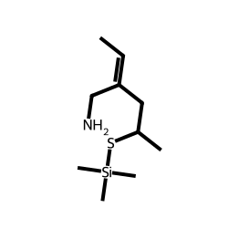 CC=C(CN)CC(C)S[Si](C)(C)C